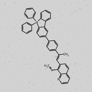 C=Nc1c(/C=C(\C)c2ccc(-c3ccc4c(c3)-c3ccccc3[Si]4(c3ccccc3)c3ccccc3)cc2)ccc2cccnc12